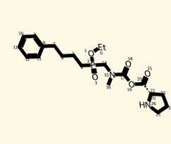 CCOP(=O)(CCCCc1ccccc1)CN(C)C(=O)OC(=O)[C@@H]1CCCN1